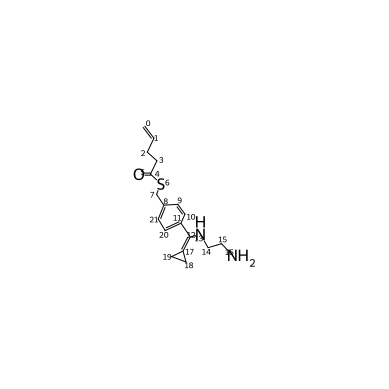 C=CCCC(=O)SCc1ccc(C(NCCN)=C2CC2)cc1